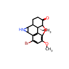 CC[C@]12c3c4c(OC)cc(Br)c3C3NC3C1CCC(=O)C2O4